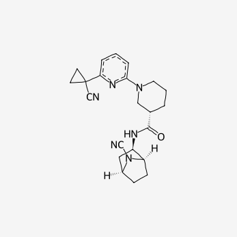 N#CN1[C@H]2CC[C@@H]1[C@H](NC(=O)[C@H]1CCCN(c3cccc(C4(C#N)CC4)n3)C1)C2